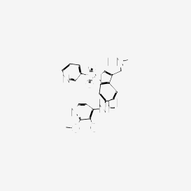 CNCc1cn(S(=O)(=O)c2cccnc2)c2cc(Nc3ccnc(OC)c3Cl)ccc12.Cl